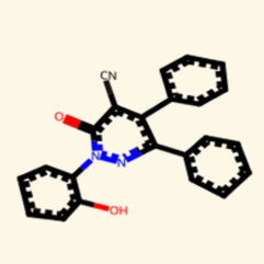 N#Cc1c(-c2ccccc2)c(-c2ccccc2)nn(-c2ccccc2O)c1=O